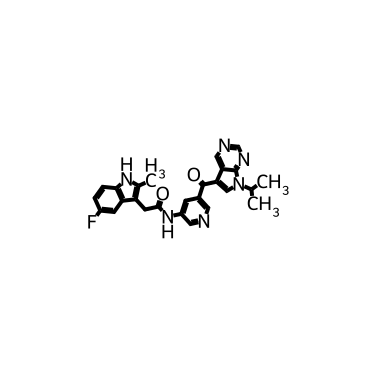 Cc1[nH]c2ccc(F)cc2c1CC(=O)Nc1cncc(C(=O)c2cn(C(C)C)c3ncncc23)c1